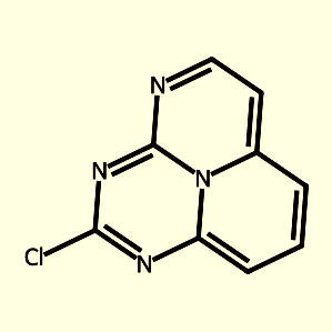 ClC1=NC2=CC=CC3=CC=NC(=N1)N32